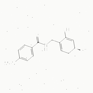 CNc1ccc(C(=O)NCC2=CC[C@H](C(F)(F)F)C=C2C)cc1